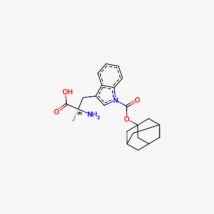 C[C@@](N)(Cc1cn(C(=O)OC23CC4CC(CC(C4)C2)C3)c2ccccc12)C(=O)O